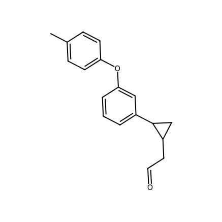 Cc1ccc(Oc2cccc(C3CC3CC=O)c2)cc1